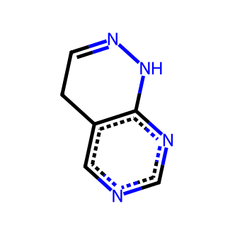 C1=NNc2ncncc2C1